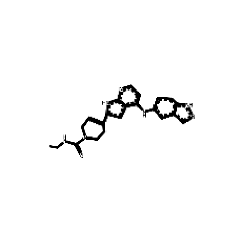 CCNC(=O)N1CC=C(c2cc3c(Nc4ccc5[nH]ncc5c4)ccnc3[nH]2)CC1